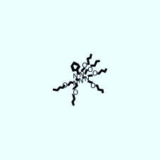 CCCCOCCN(CCOCCCC)C1=NC(c2ccccc2)[N+](CCOCCCC)(CCOCCCC)C(N(CCOCCCC)CCOCCCC)=N1